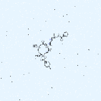 C/C(=C\C=C\[C@@H](C)COC(=O)N1CCCC1)[C@H]1OC(=O)C[C@@H](O)CC[C@](C)(O)[C@@H](OC(=O)N2CCN(C)CC2)/C=C/[C@@H]1C